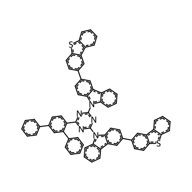 c1ccc(-c2ccc(-c3nc(-n4c5ccccc5c5cc(-c6ccc7sc8ccccc8c7c6)ccc54)nc(-n4c5ccccc5c5cc(-c6ccc7sc8ccccc8c7c6)ccc54)n3)c(-c3ccccc3)c2)cc1